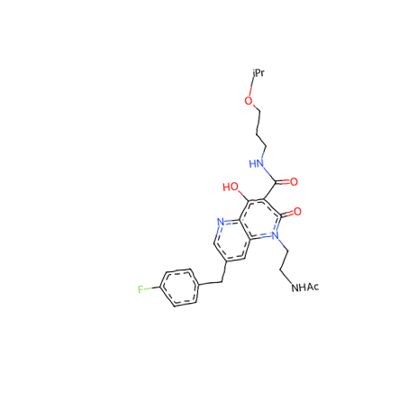 CC(=O)NCCn1c(=O)c(C(=O)NCCCOC(C)C)c(O)c2ncc(Cc3ccc(F)cc3)cc21